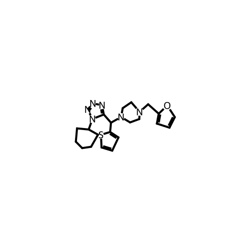 c1coc(CN2CCN(C(c3cccs3)c3nnnn3C3CCCCC3)CC2)c1